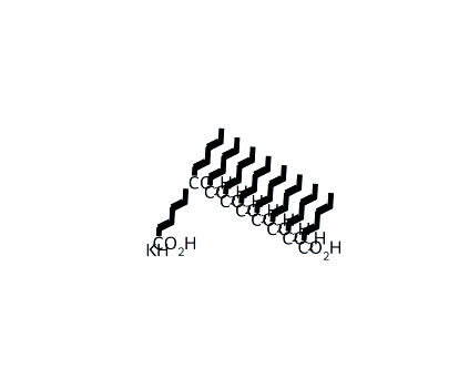 CC=CC=CC(=O)O.CC=CC=CC(=O)O.CC=CC=CC(=O)O.CC=CC=CC(=O)O.CC=CC=CC(=O)O.CC=CC=CC(=O)O.CC=CC=CC(=O)O.CC=CC=CC(=O)O.CC=CC=CC(=O)O.[KH]